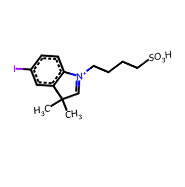 CC1(C)C=[N+](CCCCS(=O)(=O)O)c2ccc(I)cc21